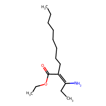 CCCCCCCCC(C(=O)OCC)=C(N)CC